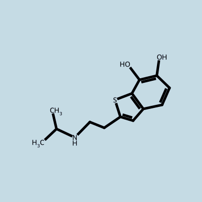 CC(C)NCCc1cc2ccc(O)c(O)c2s1